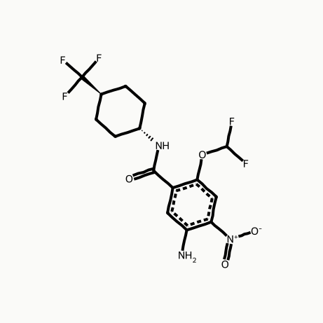 Nc1cc(C(=O)N[C@H]2CC[C@H](C(F)(F)F)CC2)c(OC(F)F)cc1[N+](=O)[O-]